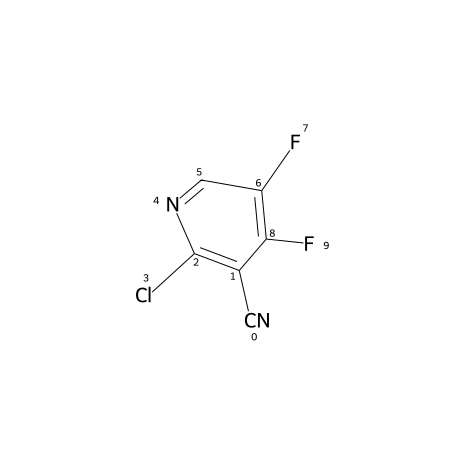 N#Cc1c(Cl)ncc(F)c1F